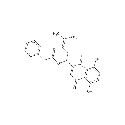 CC(C)=CCC(OC(=O)Cc1ccccc1)C1=CC(=O)c2c(O)ccc(O)c2C1=O